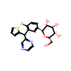 OC[C@H]1O[C@@H](c2ccc(Cl)c(C(c3cnccn3)c3cccs3)c2)[C@H](O)[C@@H](O)[C@@H]1O